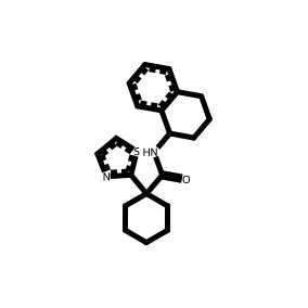 O=C(NC1CCCc2ccccc21)C1(c2nccs2)CCCCC1